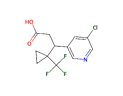 O=C(O)CC(c1cncc(Cl)c1)C1(C(F)(F)F)CC1